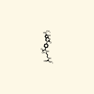 CNc1cc2cn(-c3ccc([C@@H](NCCCNC(=N)N)C(=O)O)cc3)c(=O)nc2[nH]1